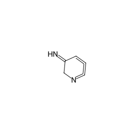 N=C1C=C=C=NC1